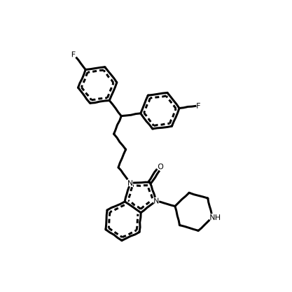 O=c1n(CCCC(c2ccc(F)cc2)c2ccc(F)cc2)c2ccccc2n1C1CCNCC1